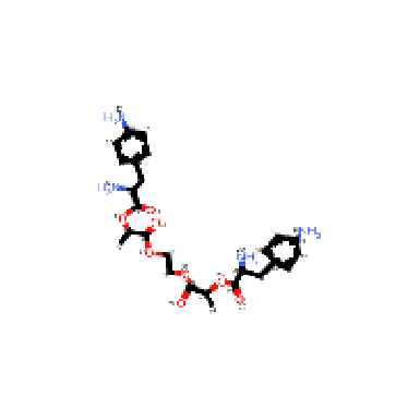 CC(OC(=O)C(N)Cc1ccc(N)cc1)C(=O)OCCOC(=O)C(C)OC(=O)C(N)Cc1ccc(N)cc1